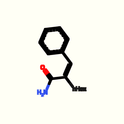 CCCCCCC(=Cc1ccccc1)C(N)=O